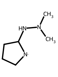 CN(C)NC1CCC[N]1